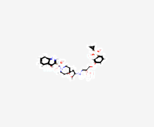 O=C(O)N(C[C@H](O)COc1cccc(S(=O)(=O)C2CC2)c1)[C@H]1COC2(CCN(S(=O)(=O)c3cnc4ccccc4c3O)CC2)C1